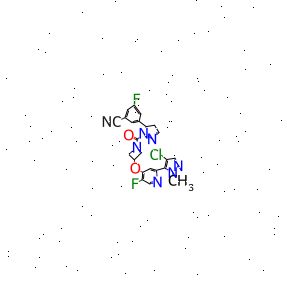 Cn1ncc(Cl)c1-c1cc(OC2CN(C(=O)N3N=CCC3c3cc(F)cc(C#N)c3)C2)c(F)cn1